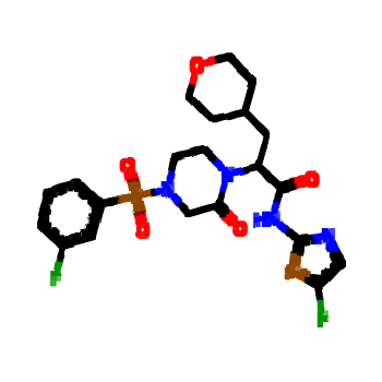 O=C(Nc1ncc(F)s1)C(CC1CCOCC1)N1CCN(S(=O)(=O)c2cccc(F)c2)CC1=O